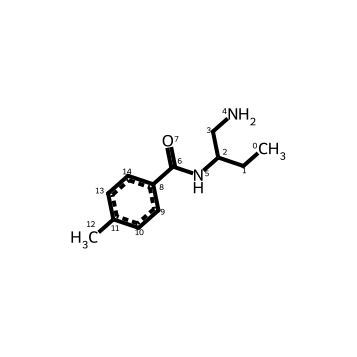 CCC(CN)NC(=O)c1ccc(C)cc1